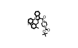 Cc1ccc(F)cc1Cc1c(C(=O)N2CCN(C(=O)OC(C)(C)C)CC2)c2ccccc2n1-c1ccccc1